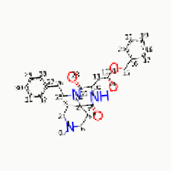 CN1CCC2(CC1)C(=O)NC(CC(=O)OCc1ccccc1)C(=O)N2CCc1ccccc1